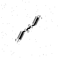 O=C(/C=C/C(=O)OCCC(F)(F)C(F)(F)C(F)(F)C(F)(F)C(F)(F)C(F)(F)F)OCCC(F)(F)C(F)(F)C(F)(F)C(F)(F)C(F)(F)C(F)(F)F